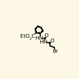 CCOC(=O)c1ccccc1NC(=O)NC(=O)CCBr